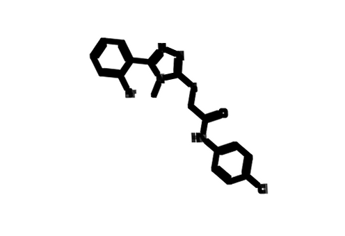 Cn1c(SCC(=O)Nc2ccc(Cl)cc2)nnc1-c1ccccc1Br